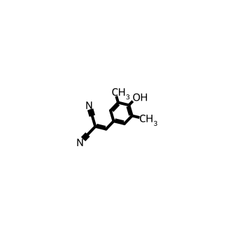 Cc1cc(C=C(C#N)C#N)cc(C)c1O